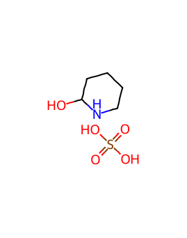 O=S(=O)(O)O.OC1CCCCN1